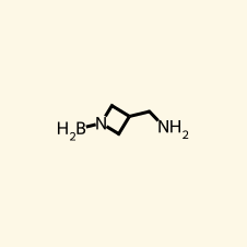 BN1CC(CN)C1